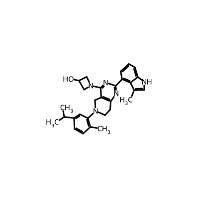 Cc1ccc(C(C)C)cc1N1CCc2nc(-c3cccc4[nH]cc(C)c34)nc(N3CC(O)C3)c2C1